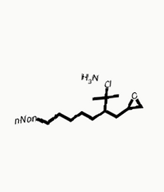 CCCCCCCCCCCCCCC(CC1CO1)C(C)(C)Cl.N